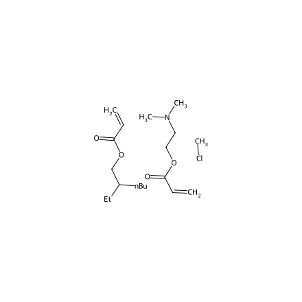 C=CC(=O)OCC(CC)CCCC.C=CC(=O)OCCN(C)C.CCl